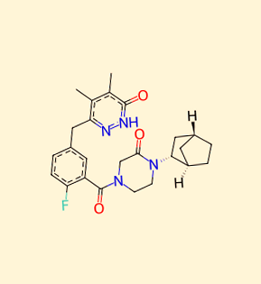 Cc1c(Cc2ccc(F)c(C(=O)N3CCN([C@@H]4C[C@@H]5CC[C@@H]4C5)C(=O)C3)c2)n[nH]c(=O)c1C